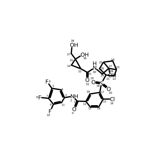 O=C(Nc1cc(F)c(F)c(F)c1)c1ccc(Cl)c(S(=O)(=O)C2CC3CC(C2)C3(O)CNC(=O)C2CC2(O)CO)c1